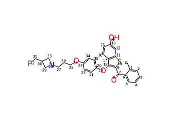 Cc1ccccc1C(=O)c1sc2cc(O)ccc2c1Oc1ccc(OCCCN2CC(CF)C2)cc1